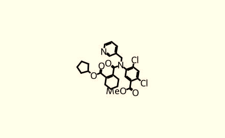 COC(=O)c1cc(N(Cc2cccnc2)C(=O)C2=C(C(=O)OC3CCCC3)CCCC2)c(Cl)cc1Cl